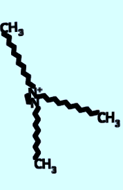 CCCCCCCCCCCCC[n+]1ccn(CCCCCCCCCCC)c1CCCCCCCCCCCC